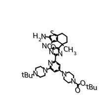 CC(C)(C)OC(=O)N1CCN(c2cc(-c3noc(C4(C)CCCc5sc(N)c(C#N)c54)n3)nc(N3CCN(C(C)(C)C)CC3)c2)CC1